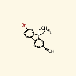 C#Cc1ccc2c(c1)C(CC)(CC)c1cc(Br)ccc1-2